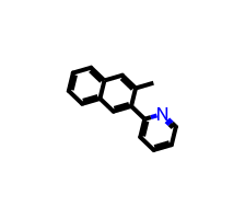 Cc1cc2ccccc2cc1-c1ccccn1